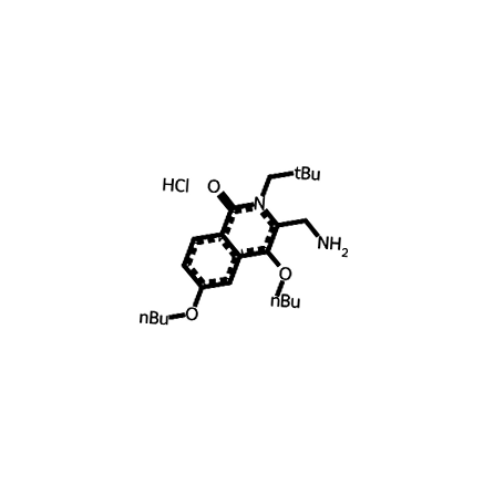 CCCCOc1ccc2c(=O)n(CC(C)(C)C)c(CN)c(OCCCC)c2c1.Cl